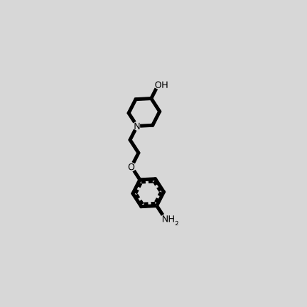 Nc1ccc(OCCN2CCC(O)CC2)cc1